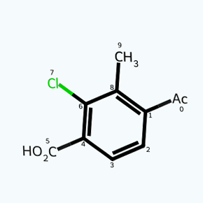 CC(=O)c1ccc(C(=O)O)c(Cl)c1C